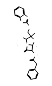 CC1(CSc2nc3ccccc3s2)S[C@H]2C(NC(=O)Cc3ccccc3)C(=O)N2C1C(=O)[O-].[Na+]